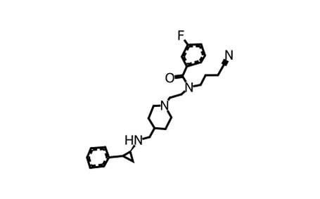 N#CCCCN(CCN1CCC(CN[C@H]2CC2c2ccccc2)CC1)C(=O)c1cccc(F)c1